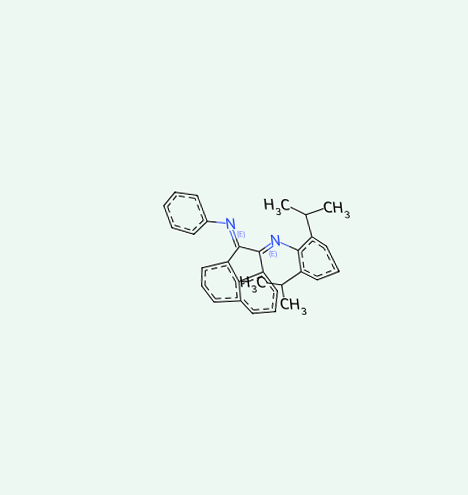 CC(C)c1cccc(C(C)C)c1/N=C1/C(=N/c2ccccc2)c2cccc3cccc1c23